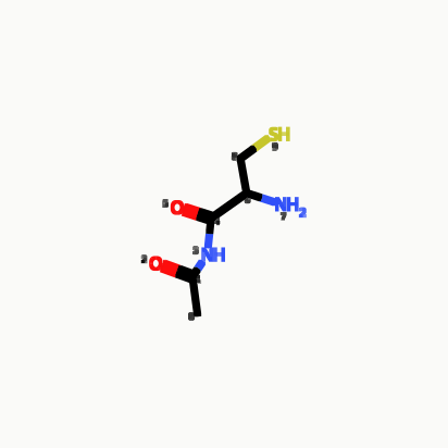 CC(=O)NC(=O)C(N)CS